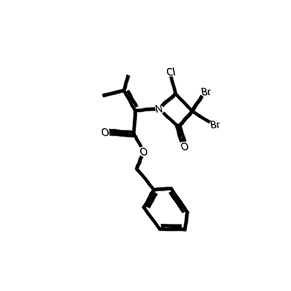 CC(C)=C(C(=O)OCc1ccccc1)N1C(=O)C(Br)(Br)C1Cl